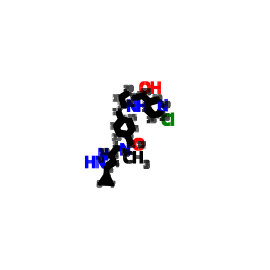 CN(Cc1cc(C2CC2)[nH]n1)C(=O)c1ccc(C[C@@H]2CC[C@H]([C@H](O)c3ccc(Cl)nc3)N2)cc1